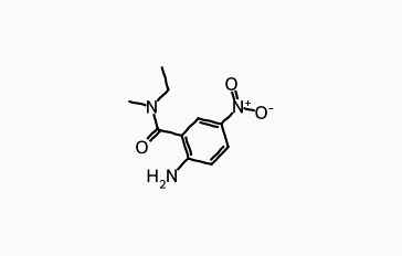 CCN(C)C(=O)c1cc([N+](=O)[O-])ccc1N